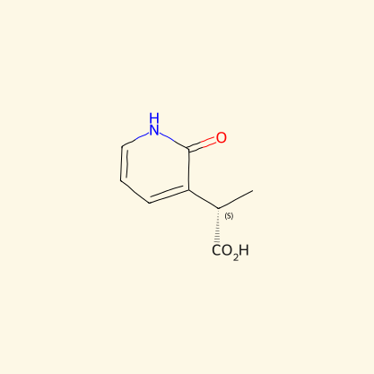 C[C@H](C(=O)O)c1ccc[nH]c1=O